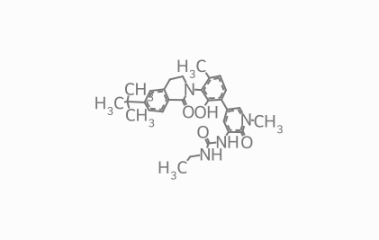 CCNC(=O)Nc1cc(-c2ccc(C)c(N3CCc4cc(C(C)(C)C)ccc4C3=O)c2O)cn(C)c1=O